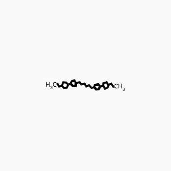 CCCC1CCC(c2ccc(CCCCCCc3ccc(C4CCC(CCC)CC4)cc3)cc2)CC1